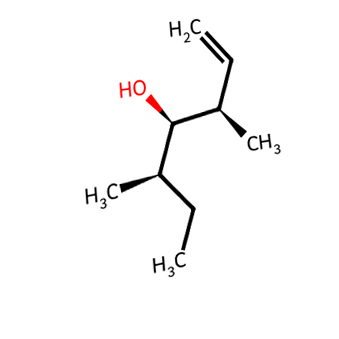 C=C[C@@H](C)[C@H](O)[C@H](C)CC